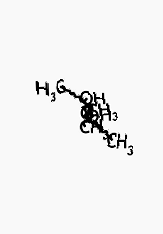 CCCCCCCCCC(O)C(CC)COCC(CC)C(O)CCCCCCCCC